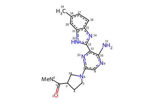 CNC(=O)C1CCN(c2cnc(N)c(-c3nc4ccc(C)cc4[nH]3)n2)C1